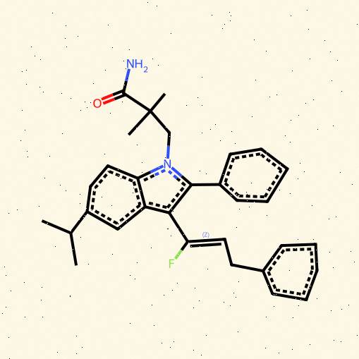 CC(C)c1ccc2c(c1)c(/C(F)=C/Cc1ccccc1)c(-c1ccccc1)n2CC(C)(C)C(N)=O